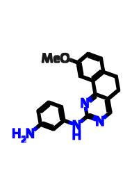 COc1ccc2c(c1)-c1nc(Nc3cccc(N)c3)ncc1CC2